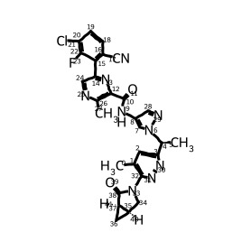 Cc1cc([C@H](C)n2cc(NC(=O)c3nc(-c4c(C#N)ccc(Cl)c4F)cnc3C)cn2)nnc1N1C[C@H]2C[C@H]2C1=O